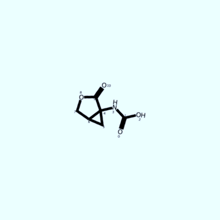 O=C(O)NC12CC1COC2=O